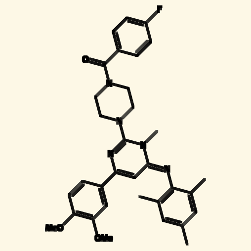 COc1ccc(-c2cc(=Nc3c(C)cc(C)cc3C)n(C)c(N3CCN(C(=O)c4ccc(F)cc4)CC3)n2)cc1OC